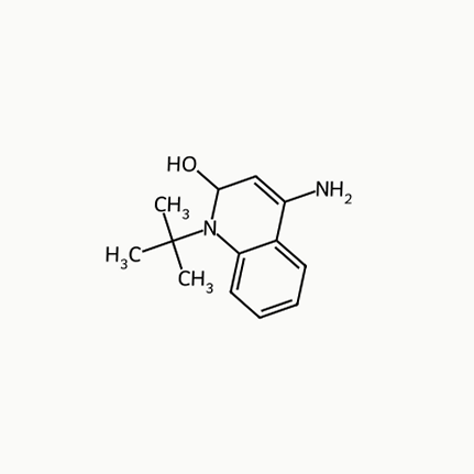 CC(C)(C)N1c2ccccc2C(N)=CC1O